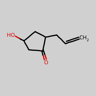 C=CCC1CC(O)CC1=O